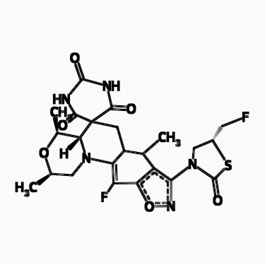 CC1c2c(N3C[C@H](CF)SC3=O)noc2C(F)=C2C1CC1(C(=O)NC(=O)NC1=O)[C@H]1[C@H](C)O[C@H](C)CN21